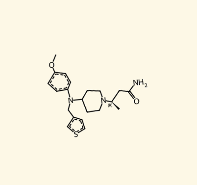 COc1ccc(N(Cc2ccsc2)C2CCN([C@H](C)CC(N)=O)CC2)cc1